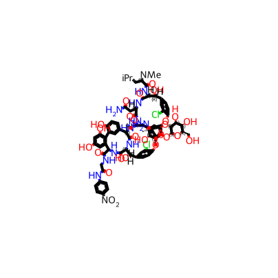 CN[C@H](CC(C)C)C(=O)N[C@H]1C(=O)N[C@@H](CC(N)=O)C(=O)NC2C(=O)N[C@H]3C(=O)N[C@H](C(=O)NC(C(=O)NCC(=O)Nc4ccc([N+](=O)[O-])cc4)c4cc(O)cc(O)c4-c4cc3ccc4O)[C@H](O)c3ccc(c(Cl)c3)Oc3cc2cc(c3O[C@@H]2O[C@H](CO)[C@@H](O)[C@H](O)[C@H]2OC2C[C@](C)(N)[C@H](O)[C@H](C)O2)Oc2ccc(cc2Cl)[C@H]1O